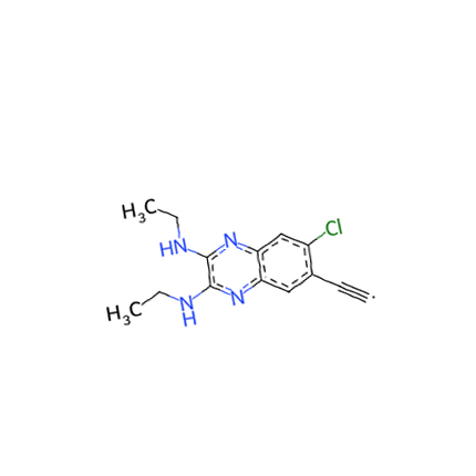 [C]#Cc1cc2nc(NCC)c(NCC)nc2cc1Cl